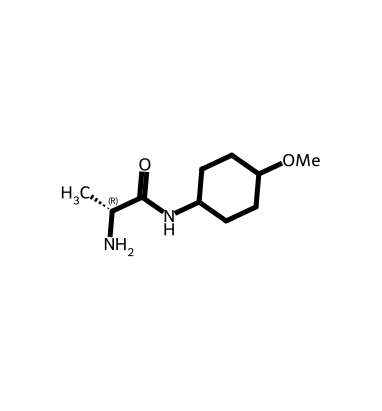 COC1CCC(NC(=O)[C@@H](C)N)CC1